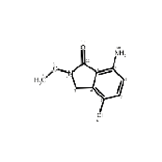 CON1Cc2c(Cl)ccc(N)c2C1=O